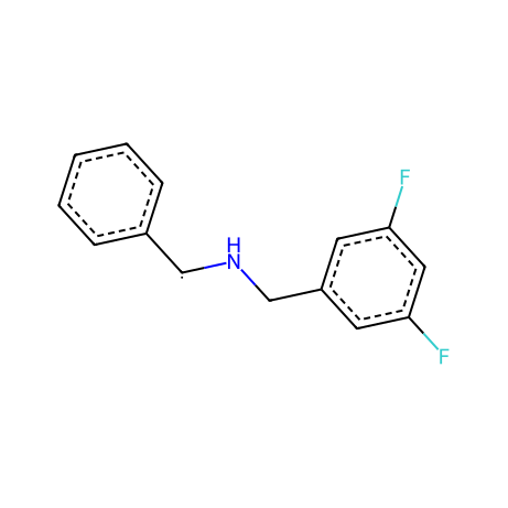 Fc1cc(F)cc(CN[CH]c2ccccc2)c1